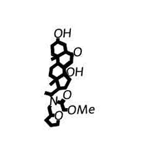 COCC(=O)N(CC1CCCO1)C(C)C1CC[C@@]2(O)C3=CC(=O)C4CC(O)CCC4(C)C3CCC12C